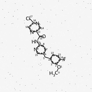 COc1cc(Cc2ccc(NC(=O)c3cnc(Cl)cn3)nc2)ccc1F